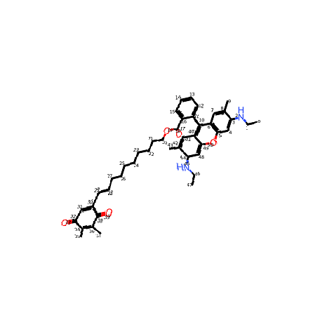 CCNc1cc2c(cc1C)C(c1ccccc1C(=O)OCCCCCCCCCCC1=CC(=O)C(C)=C(C)C1=O)=C1C=C(C)C(NCC)C=C1O2